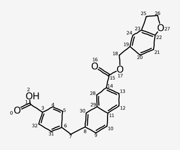 O=C(O)c1ccc(Cc2ccc3ccc(C(=O)OCc4ccc5c(c4)CCO5)cc3c2)cc1